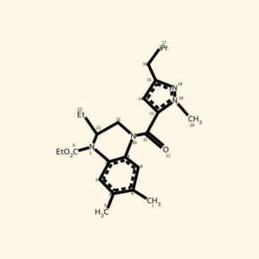 CCOC(=O)N1c2cc(C)c(C)cc2N(C(=O)c2cc(CC(C)C)nn2C)CC1CC